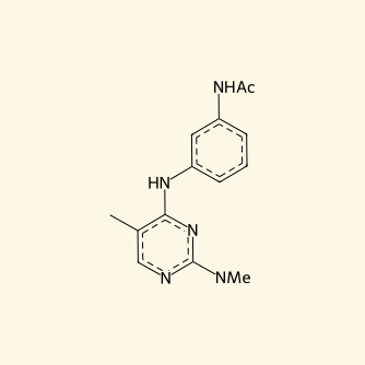 CNc1ncc(C)c(Nc2cccc(NC(C)=O)c2)n1